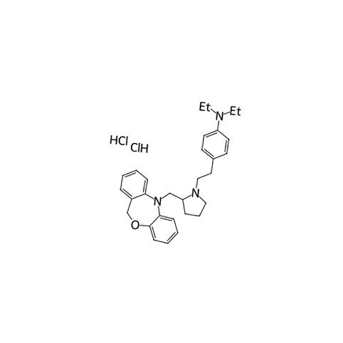 CCN(CC)c1ccc(CCN2CCCC2CN2c3ccccc3COc3ccccc32)cc1.Cl.Cl